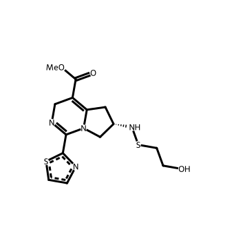 COC(=O)C1=C2C[C@H](NSCCO)CN2C(c2nccs2)=NC1